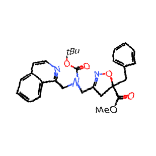 COC(=O)C1(Cc2ccccc2)CC(CN(Cc2nccc3ccccc23)C(=O)OC(C)(C)C)=NO1